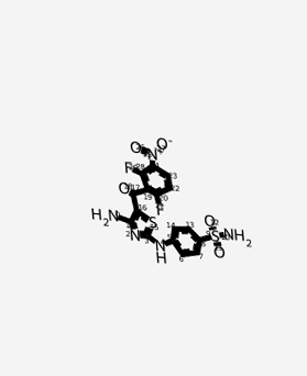 Nc1nc(Nc2ccc(S(N)(=O)=O)cc2)sc1C(=O)c1c(F)ccc([N+](=O)[O-])c1F